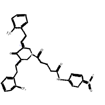 O=C(CCCC(=O)N1C/C(=C\Cc2ccccc2C(F)(F)F)C(=O)/C(=C/Cc2ccccc2C(F)(F)F)C1)NC1=CCC(=S(=O)=O)C=C1